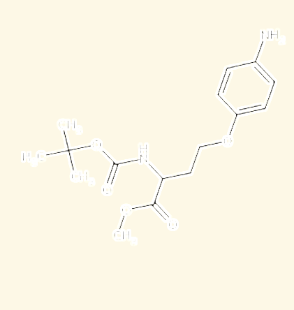 COC(=O)C(CCOc1ccc(N)cc1)NC(=O)OC(C)(C)C